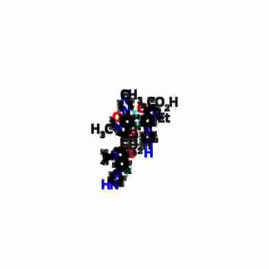 CC1COc2c(N3CCN(C)CC3)c(F)cc3c(=O)c(C(=O)O)cn1c23.CCn1cc(C(=O)O)c(=O)c2cc(F)c(N3CCNCC3)cc21.O=C(O)c1cn(C2CC2)c2cc(N3CCNCC3)c(F)cc2c1=O